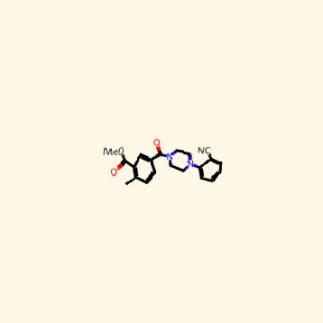 COC(=O)c1cc(C(=O)N2CCN(c3ccccc3C#N)CC2)ccc1C